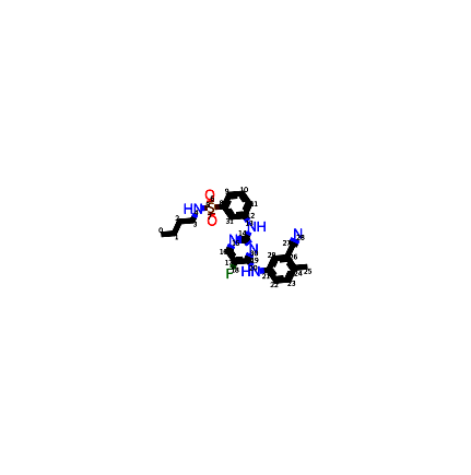 CCCCNS(=O)(=O)c1cccc(Nc2ncc(F)c(Nc3ccc(C)c(C#N)c3)n2)c1